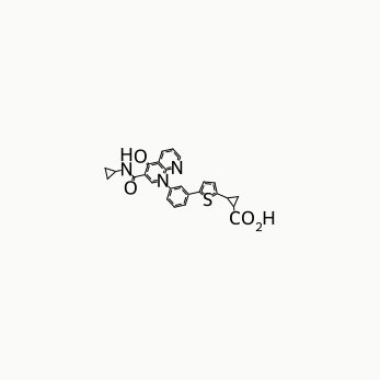 O=C(NC1CC1)c1cn(-c2cccc(-c3ccc(C4CC4C(=O)O)s3)c2)c2ncccc2c1=O